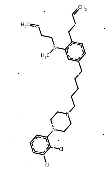 C=CCCc1ccc(CCCCCN2CCN(c3cccc(Cl)c3Cl)CC2)cc1N(C)CCC=C